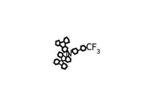 FC(F)(F)c1ccc(-c2ccc(N(c3ccc4c5ccccc5c5ccccc5c4c3)c3cccc4c3-c3ccccc3C43c4ccccc4-c4ccccc43)cc2)cc1